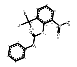 O=C(Oc1ccccc1)Oc1c([N+](=O)[O-])cccc1C(F)(F)F